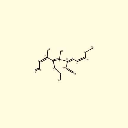 C=C\C=C(C)/C(CCC)=C(C)/C(=C/C=C\CC)N=C